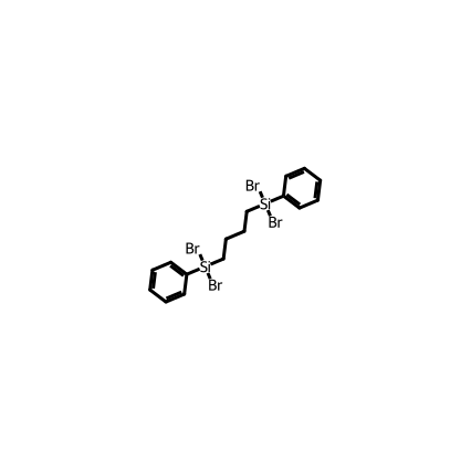 Br[Si](Br)(CCCC[Si](Br)(Br)c1ccccc1)c1ccccc1